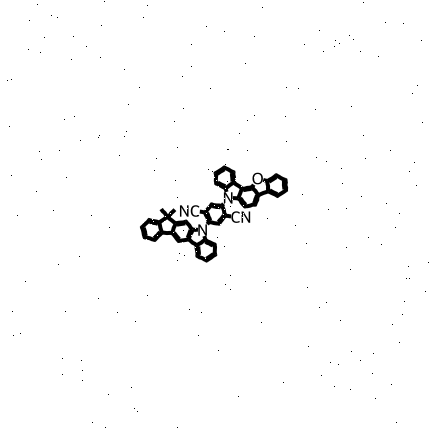 CC1(C)c2ccccc2-c2cc3c4ccccc4n(-c4cc(C#N)c(-n5c6ccccc6c6c7oc8ccccc8c7ccc65)cc4C#N)c3cc21